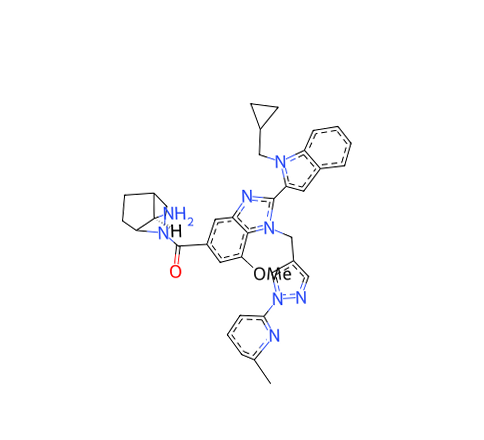 COc1cc(C(=O)N2CC3CCC2[C@@H]3N)cc2nc(-c3cc4ccccc4n3CC3CC3)n(Cc3cnn(-c4cccc(C)n4)c3)c12